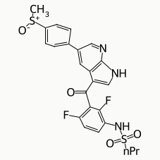 CCCS(=O)(=O)Nc1ccc(F)c(C(=O)c2c[nH]c3ncc(-c4ccc([S+](C)[O-])cc4)cc23)c1F